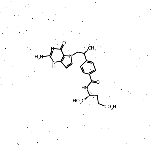 CC(Cn1ccc2[nH]c(N)nc(=O)c21)c1ccc(C(=O)N[C@@H](CCC(=O)O)C(=O)O)cc1